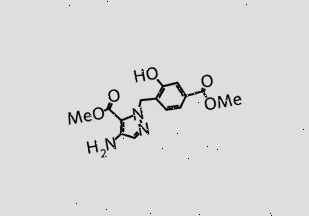 COC(=O)c1ccc(Cn2ncc(N)c2C(=O)OC)c(O)c1